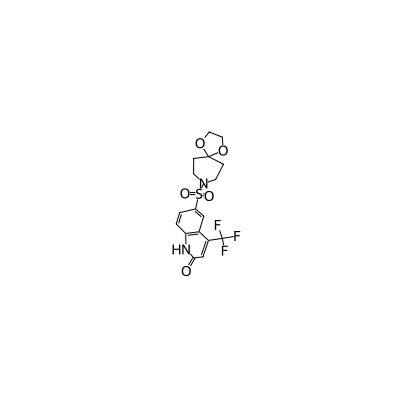 O=c1cc(C(F)(F)F)c2cc(S(=O)(=O)N3CCC4(CC3)OCCO4)ccc2[nH]1